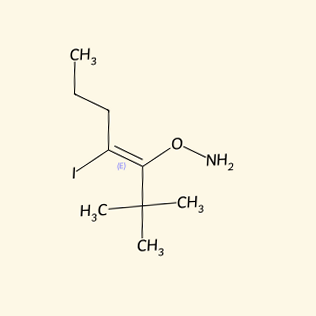 CCC/C(I)=C(\ON)C(C)(C)C